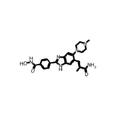 C/C(=C\c1cc2[nH]c(-c3ccc(C(=O)NO)cc3)nc2cc1N1CCN(C)CC1)C(N)=O